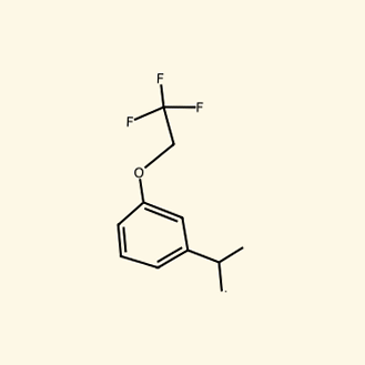 [CH2]C(C)c1cccc(OCC(F)(F)F)c1